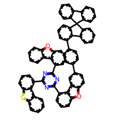 c1ccc2c(c1)-c1ccccc1C21c2ccccc2-c2c(-c3ccc(-c4ccc5oc6cccc(-c7nc(-c8cccc9oc%10ccccc%10c89)nc(-c8cccc9sc%10ccccc%10c89)n7)c6c5c4)cc3)cccc21